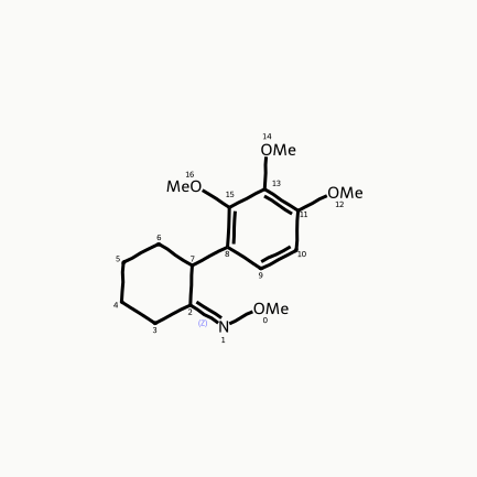 CO/N=C1/CCCCC1c1ccc(OC)c(OC)c1OC